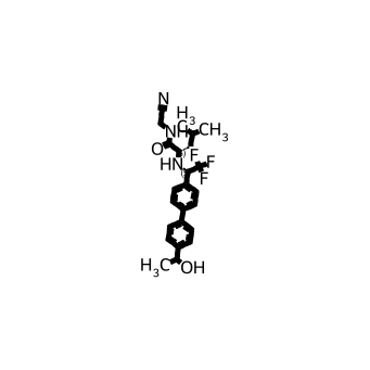 CC(C)C[C@H](N[C@@H](c1ccc(-c2ccc(C(C)O)cc2)cc1)C(F)(F)F)C(=O)NCC#N